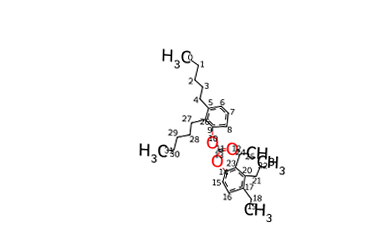 CCCCCc1cccc(OC(=O)Oc2ccc(CC)c(CC)c2CC)c1CCCCC